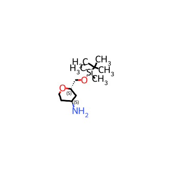 CC(C)(C)[Si](C)(C)OC[C@@H]1C[C@@H](N)CCO1